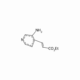 CCOC(=O)C=Cc1ccncc1N